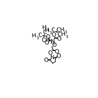 CC(C)(C)OC(=O)N(OCC(=O)ON1C(=O)CCC1=O)C(=O)OC(C)(C)C